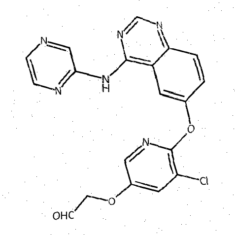 O=CCOc1cnc(Oc2ccc3ncnc(Nc4cnccn4)c3c2)c(Cl)c1